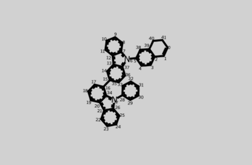 C1=Cc2ccc(-n3c4ccccc4c4cc(-c5cccc6c7ccccc7n(-c7ccccc7)c56)ccc43)cc2CC1